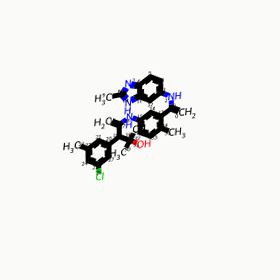 C=C(Nc1ccc2nc(C)[nH]c2c1)c1cc(NC(=C)C(c2cc(C)cc(Cl)c2)C(C)(C)O)ccc1C